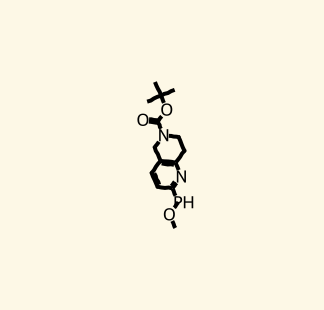 COPc1ccc2c(n1)CCN(C(=O)OC(C)(C)C)C2